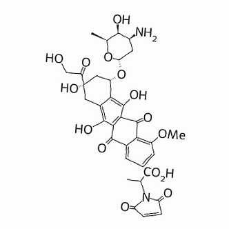 CC(C(=O)O)N1C(=O)C=CC1=O.COc1cccc2c1C(=O)c1c(O)c3c(c(O)c1C2=O)C[C@@](O)(C(=O)CO)C[C@@H]3O[C@H]1C[C@H](N)[C@H](O)[C@H](C)O1